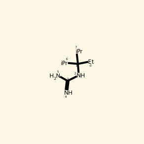 CCC(NC(=N)N)(C(C)C)C(C)C